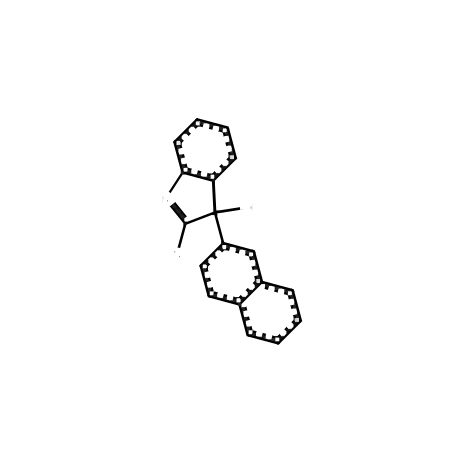 NC1=Nc2ccccc2C1(O)c1ccc2ccccc2c1